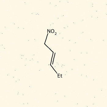 CC[C]=CC[N+](=O)[O-]